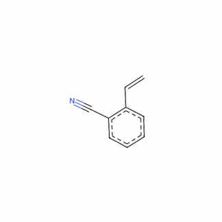 C=Cc1ccccc1C#N